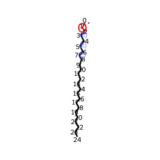 [CH2]O/C=C/C=C/C=C/CCCCCCCCCCCCCCCCC